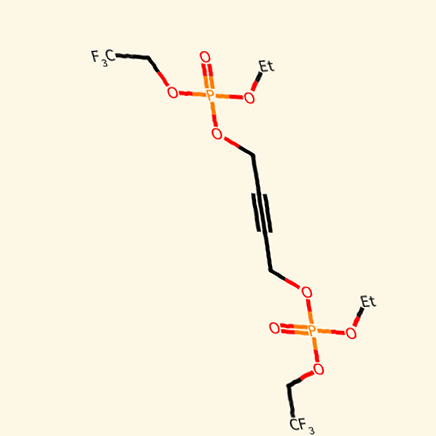 CCOP(=O)(OCC#CCOP(=O)(OCC)OCC(F)(F)F)OCC(F)(F)F